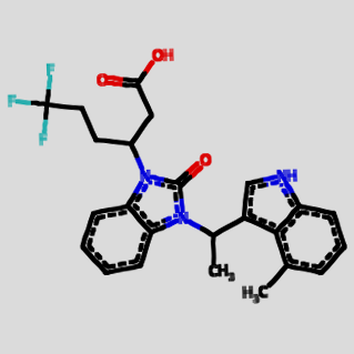 Cc1cccc2[nH]cc(C(C)n3c(=O)n(C(CCC(F)(F)F)CC(=O)O)c4ccccc43)c12